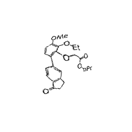 CCCOC(=O)COc1c(-c2ccc3c(c2)CCC3=O)ccc(OC)c1OCC